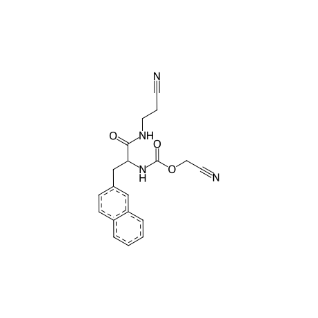 N#CCCNC(=O)C(Cc1ccc2ccccc2c1)NC(=O)OCC#N